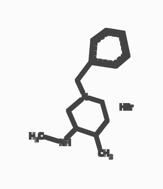 Br.CNC1CN(Cc2ccccc2)CCC1C